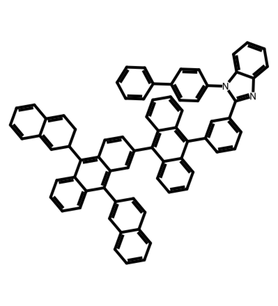 C1=c2ccccc2=CC(c2c3ccccc3c(-c3ccc4ccccc4c3)c3cc(-c4c5ccccc5c(-c5cccc(-c6nc7ccccc7n6-c6ccc(-c7ccccc7)cc6)c5)c5ccccc45)ccc23)C1